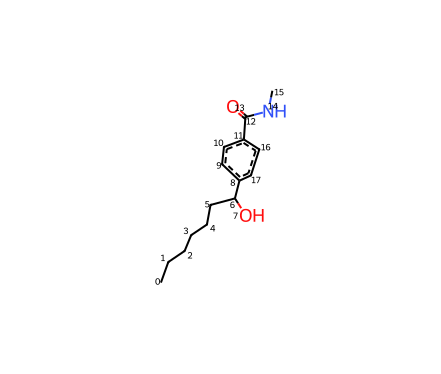 CCCCCCC(O)c1ccc(C(=O)NC)cc1